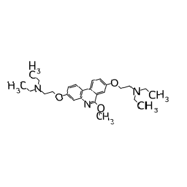 CCN(CC)CCOc1ccc2c(c1)nc(OC)c1cc(OCCN(CC)CC)ccc12